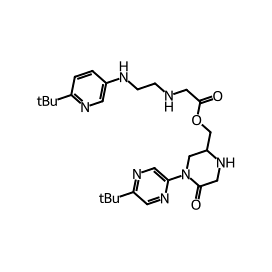 CC(C)(C)c1ccc(NCCNCC(=O)OCC2CN(c3cnc(C(C)(C)C)cn3)C(=O)CN2)cn1